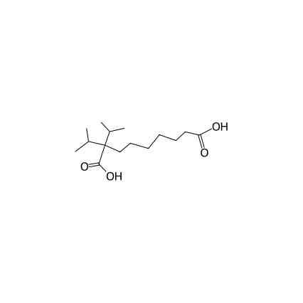 CC(C)C(CCCCCCC(=O)O)(C(=O)O)C(C)C